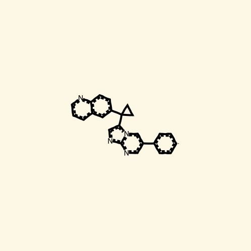 [c]1ccc(-c2cnc3ncc(C4(c5ccc6ncccc6c5)CC4)n3c2)cc1